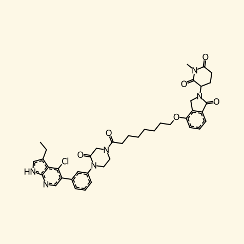 CCc1c[nH]c2ncc(-c3cccc(N4CCN(C(=O)CCCCCCCOc5cccc6c5CN(C5CCC(=O)N(C)C5=O)C6=O)CC4=O)c3)c(Cl)c12